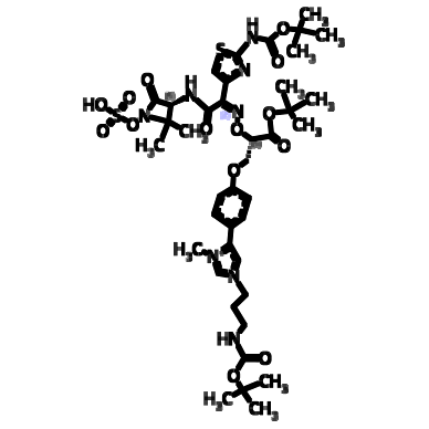 C[n+]1cn(CCCNC(=O)OC(C)(C)C)cc1-c1ccc(OC[C@H](O/N=C(\C(=O)N[C@@H]2C(=O)N(OS(=O)(=O)O)C2(C)C)c2csc(NC(=O)OC(C)(C)C)n2)C(=O)OC(C)(C)C)cc1